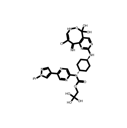 CC(C)n1cc(-c2cnc(N(C(=O)OCC(O)(O)O)[C@H]3CC[C@H](Nc4ncc5c(n4)C(=N)/C(Cl)=C\NOC5(O)O)CC3)cn2)cn1